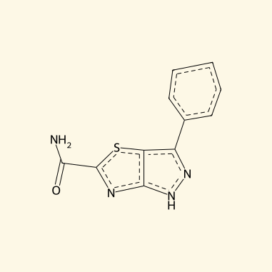 NC(=O)c1nc2[nH]nc(-c3ccccc3)c2s1